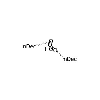 CCCCCCCCCCCCCCCCCC(=O)OCC(O)COCCCCCCCCCCCCCCCC